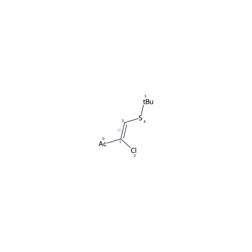 CC(=O)/C(Cl)=C/SC(C)(C)C